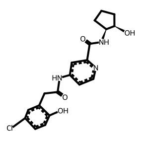 O=C(Cc1cc(Cl)ccc1O)Nc1ccnc(C(=O)N[C@H]2CCC[C@H]2O)c1